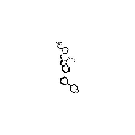 Nn1c(CN2CCCC2CN=O)cc2cc(-c3cccc(C4=CCOCC4)c3)ccc21